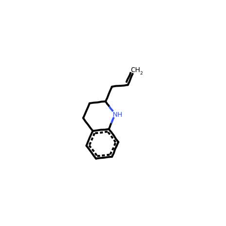 C=CCC1CCc2ccccc2N1